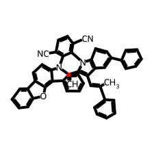 C=Cc1c(/C=C(\C)c2ccccc2)c2cc(-c3ccccc3)ccc2n1-c1c(C#N)ccc(C#N)c1-n1c2ccccc2c2c3oc4ccccc4c3ccc21